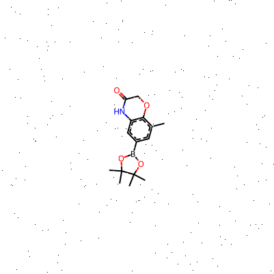 Cc1cc(B2OC(C)(C)C(C)(C)O2)cc2c1OCC(=O)N2